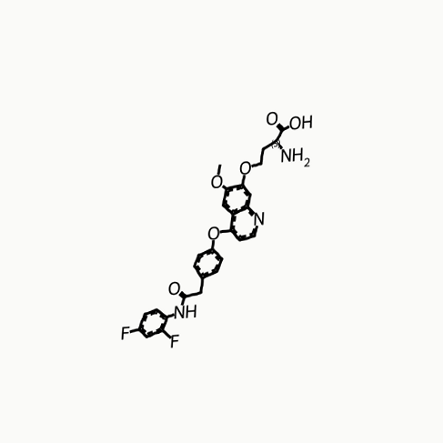 COc1cc2c(Oc3ccc(CC(=O)Nc4ccc(F)cc4F)cc3)ccnc2cc1OCC[C@H](N)C(=O)O